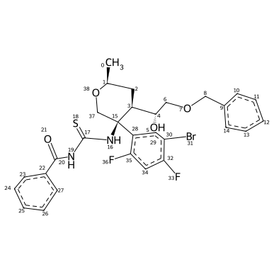 C[C@H]1C[C@@H]([C@@H](O)COCc2ccccc2)[C@](NC(=S)NC(=O)c2ccccc2)(c2cc(Br)c(F)cc2F)CO1